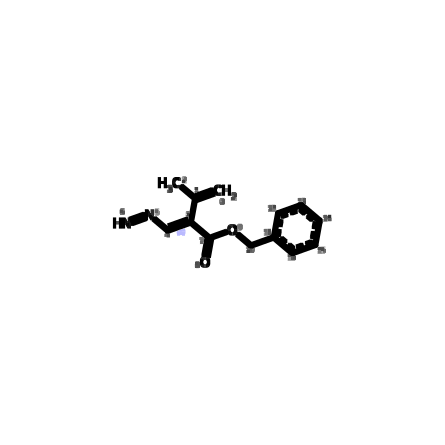 C=C(C)/C(=C\N=N)C(=O)OCc1ccccc1